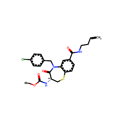 C=CCCNC(=O)c1ccc2c(c1)N(Cc1ccc(Cl)cc1)C(=O)[C@@H](NC(=O)OC(C)(C)C)CS2